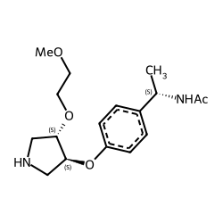 COCCO[C@H]1CNC[C@@H]1Oc1ccc([C@H](C)NC(C)=O)cc1